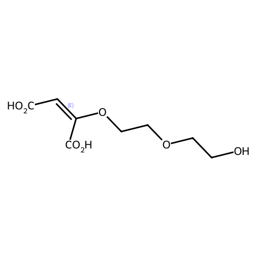 O=C(O)/C=C(/OCCOCCO)C(=O)O